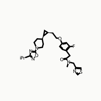 CC(C)c1noc(N2CCC([C@H]3C[C@H]3CCOc3ccc(CC(=O)N(C)Cc4cscn4)c(F)c3)CC2)n1